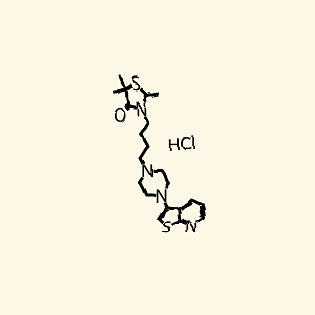 CC1SC(C)(C)C(=O)N1CCCCN1CCN(c2csc3ncccc23)CC1.Cl